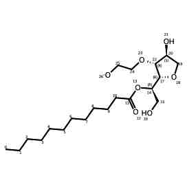 CCCCCCCCCCCC(=O)O[C@H](CO)[C@H]1OC[C@H](O)[C@H]1OCC[O]